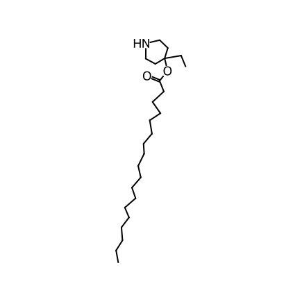 CCCCCCCCCCCCCCCCCC(=O)OC1(CC)CCNCC1